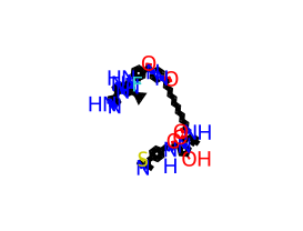 Cc1ncsc1-c1ccc(CNC(=O)[C@@H]2C[C@H](O)CN2C(=O)[C@@H](NC(=O)CCCCCCCCCCC(=O)N2CCN(C(=O)c3ccc(Nc4nc(C5CC5)cn5c(-c6cn[nH]c6)cnc45)c(F)c3)CC2)C(C)(C)C)cc1